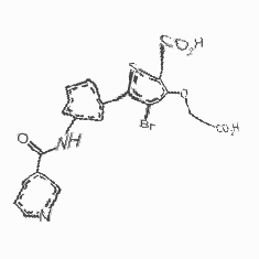 O=C(O)COc1c(C(=O)O)sc(-c2cccc(NC(=O)c3cccnc3)c2)c1Br